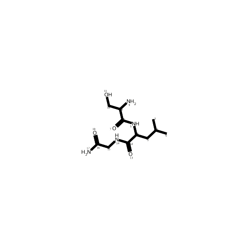 CC(C)CC(NC(=O)C(N)CO)C(=O)NCC(N)=O